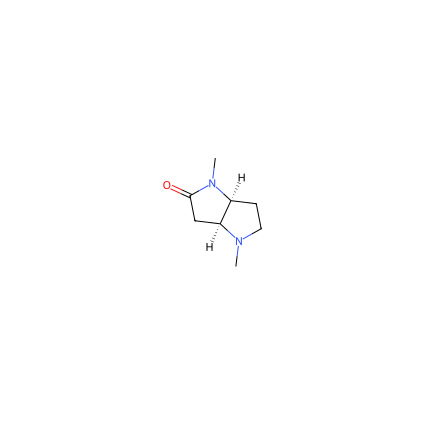 CN1CC[C@H]2[C@@H]1CC(=O)N2C